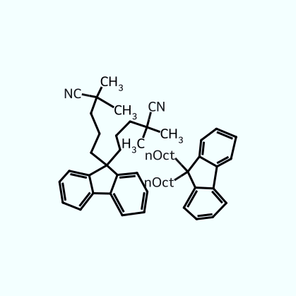 CC(C)(C#N)CCCC1(CCCC(C)(C)C#N)c2ccccc2-c2ccccc21.CCCCCCCCC1(CCCCCCCC)c2ccccc2-c2ccccc21